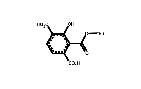 CC(C)(C)OC(=O)c1c(C(=O)O)ccc(C(=O)O)c1O